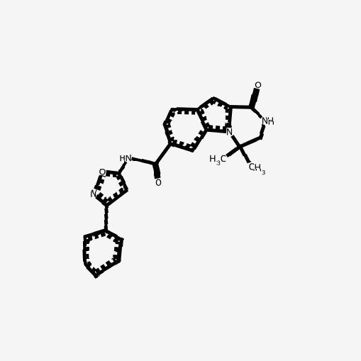 CC1(C)CNC(=O)c2cc3ccc(C(=O)Nc4cc(-c5ccccc5)no4)cc3n21